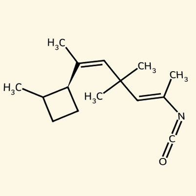 C/C(=C/C(C)(C)/C=C(\C)N=C=O)[C@H]1CCC1C